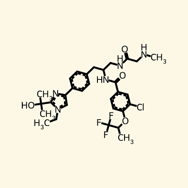 CCn1cc(-c2ccc(CC(CNC(=O)CNC)NC(=O)c3ccc(OC(C)C(F)(F)F)c(Cl)c3)cc2)nc1C(C)(C)O